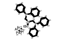 CC(=O)[O-].CC(=O)[O-].CC(C)(C)N(CP(c1ccccc1)c1ccccc1)CP(c1ccccc1)c1ccccc1.[Pd+2]